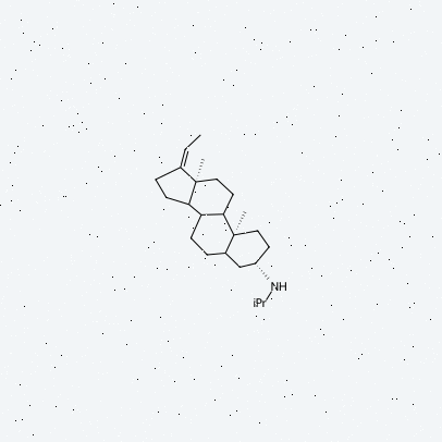 C/C=C1/CCC2C3CCC4C[C@@H](NC(C)C)CC[C@]4(C)C3CC[C@]12C